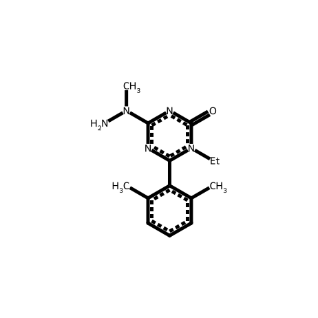 CCn1c(-c2c(C)cccc2C)nc(N(C)N)nc1=O